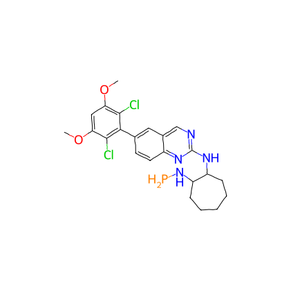 COc1cc(OC)c(Cl)c(-c2ccc3nc(NC4CCCCCC4NP)ncc3c2)c1Cl